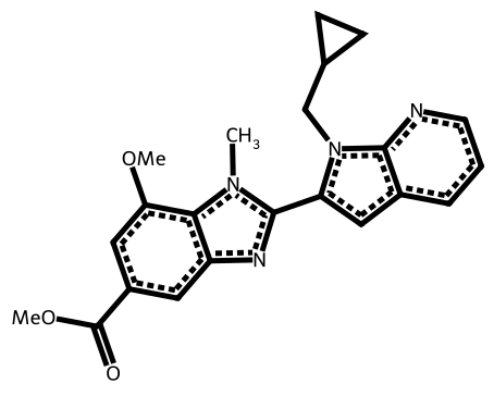 COC(=O)c1cc(OC)c2c(c1)nc(-c1cc3cccnc3n1CC1CC1)n2C